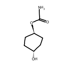 NC(=O)O[C@H]1CC[C@H](O)CC1